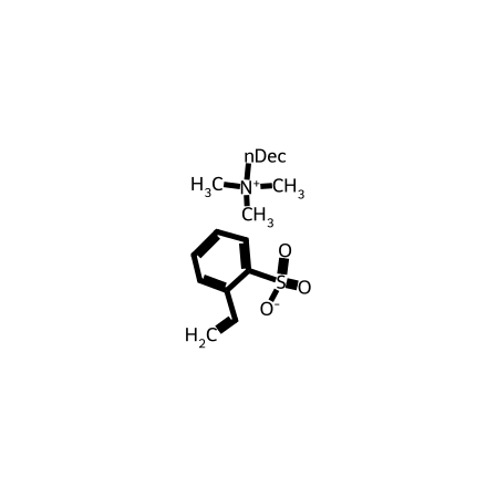 C=Cc1ccccc1S(=O)(=O)[O-].CCCCCCCCCC[N+](C)(C)C